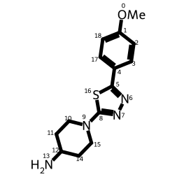 COc1ccc(-c2nnc(N3CCC(N)CC3)s2)cc1